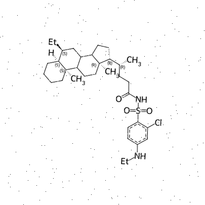 CCNc1ccc(S(=O)(=O)NC(=O)CC[C@@H](C)[C@H]2CCC3C4C[C@H](CC)[C@@H]5CCCC[C@]5(C)C4CC[C@@]32C)c(Cl)c1